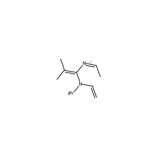 C=CN(C(/N=C\C)=C(C)C)C(C)C